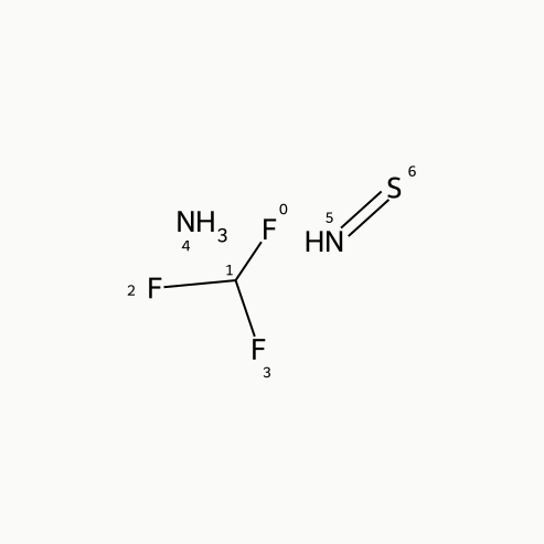 FC(F)F.N.N=S